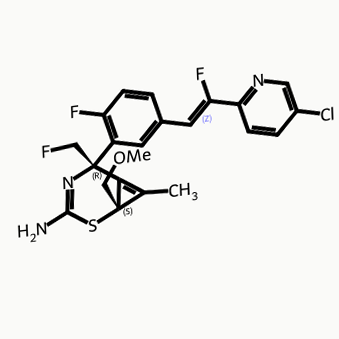 COC[C@@]12SC(N)=N[C@](CF)(c3cc(/C=C(\F)c4ccc(Cl)cn4)ccc3F)C1=C2C